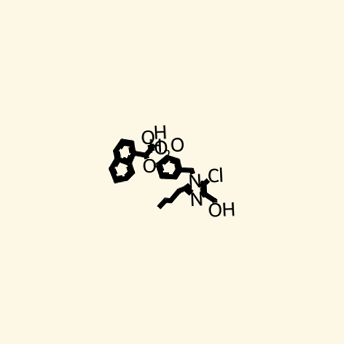 CCCCc1nc(CO)c(Cl)n1Cc1ccc(OC(C(=O)O)c2cccc3ccccc23)cc1.O